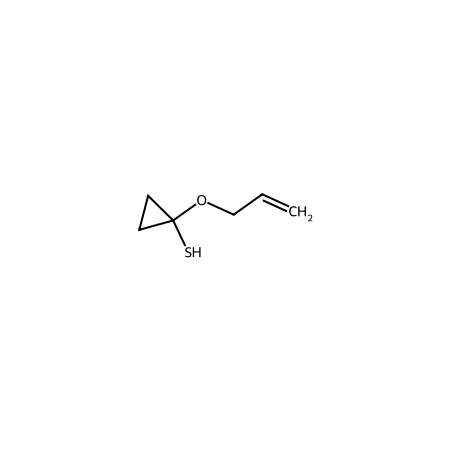 C=CCOC1(S)CC1